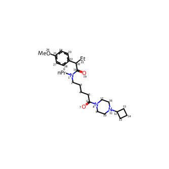 CCCN(CCCCC(=O)N1CCN(C2CCC2)CC1)C(=O)C(CC)c1ccc(OC)cc1